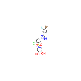 O=S(=O)(c1cc(-c2nc(-c3ccc(Br)c(F)c3)c[nH]2)ccc1Cl)N1CC[C@@H](O)[C@@H](O)CC1